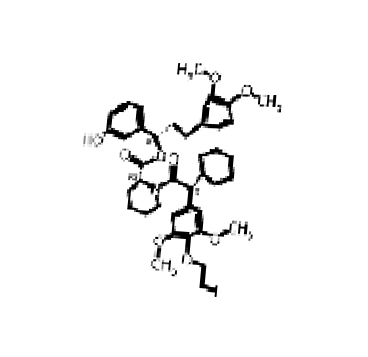 COc1ccc(CC[C@H](OC(=O)[C@H]2CCCCN2C(=O)[C@H](c2cc(OC)c(OCCI)c(OC)c2)C2CCCCC2)c2cccc(O)c2)cc1OC